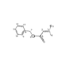 C=C(/C=C(\C)F)OCc1ccccc1